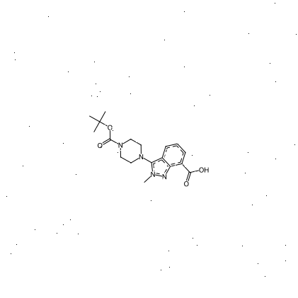 Cn1nc2c(C(=O)O)cccc2c1N1CCN(C(=O)OC(C)(C)C)CC1